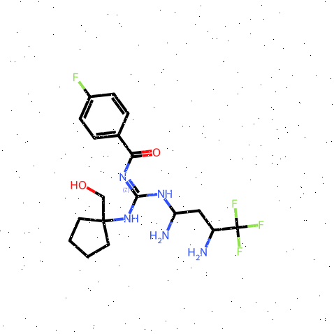 NC(CC(N)C(F)(F)F)N/C(=N\C(=O)c1ccc(F)cc1)NC1(CO)CCCC1